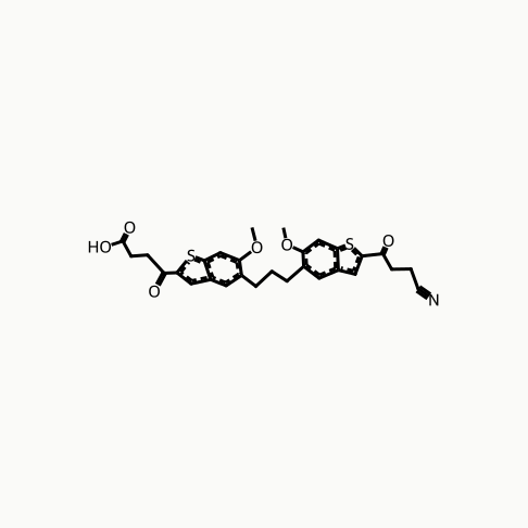 COc1cc2sc(C(=O)CCC#N)cc2cc1CCCc1cc2cc(C(=O)CCC(=O)O)sc2cc1OC